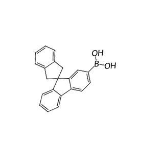 OB(O)c1ccc2c(c1)C1(Cc3ccccc3C1)c1ccccc1-2